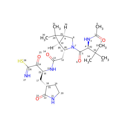 CC(=O)N[C@H](C(=O)N1C[C@H]2[C@@H]([C@H]1CC(=O)N[C@@H](C[C@@H]1CCNC1=O)C(=O)C(=N)S)C2(C)C)C(C)(C)C